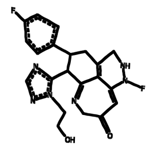 O=C1C=C2C3=C(CNN2F)CC(c2ccc(F)cc2)C(c2ncnn2CCO)C3=NC1